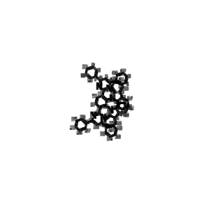 c1ccc(-c2cc(-c3ccccc3)nc(-c3ccc(-c4nc(-c5ccccc5)cc(-c5ccccc5)n4)c(-n4c5ccccc5c5ccccc54)c3-n3c4ccccc4c4ccccc43)n2)cc1